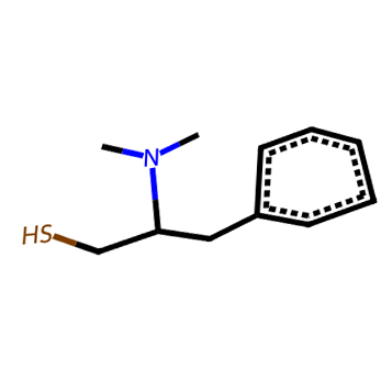 CN(C)C(CS)Cc1ccccc1